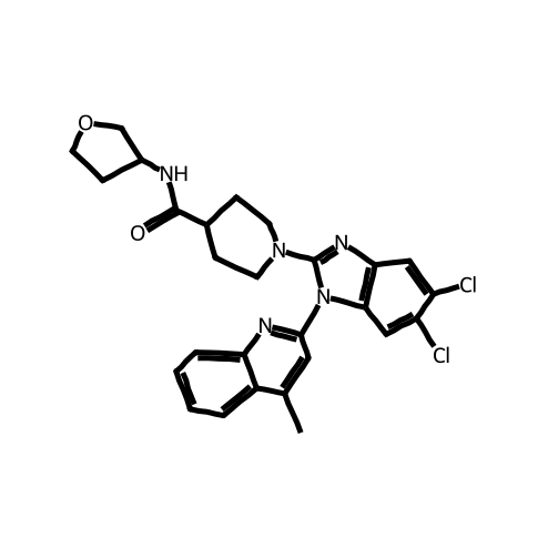 Cc1cc(-n2c(N3CCC(C(=O)NC4CCOC4)CC3)nc3cc(Cl)c(Cl)cc32)nc2ccccc12